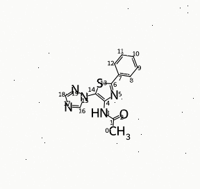 CC(=O)Nc1nc(-c2ccccc2)sc1-n1cncn1